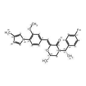 COc1cc(C=C2O[C@@H](C)CN([C@@H](C)c3ccc(F)cc3)C2=O)ccc1-n1cnc(C)c1